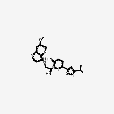 COc1cnc2c(NCC(=N)n3nc(-c4cc(C(C)C)ns4)ccc3=N)ccnc2c1